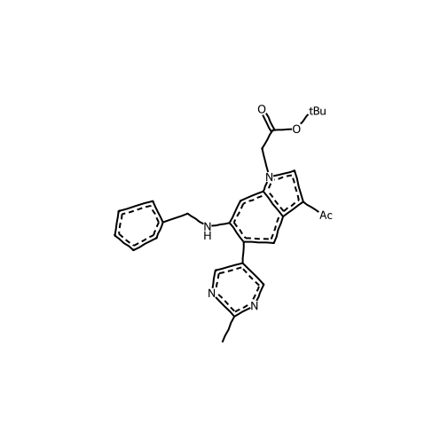 CC(=O)c1cn(CC(=O)OC(C)(C)C)c2cc(NCc3ccccc3)c(-c3cnc(C)nc3)cc12